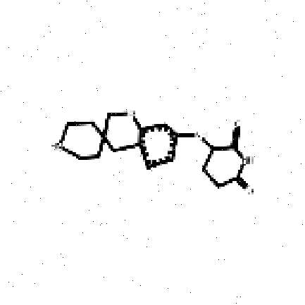 O=C1CCC(Nc2ccc3c(c2)OCC2(CCNCC2)C3)C(=O)N1